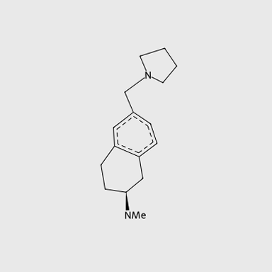 CN[C@H]1CCc2cc(CN3CCCC3)ccc2C1